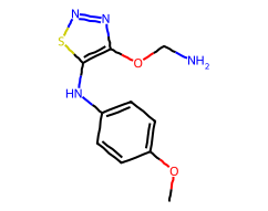 COc1ccc(Nc2snnc2OCN)cc1